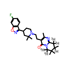 [2H]C1([2H])c2nc(C)c(CCN3CCC(c4noc5cc(F)ccc45)CC3(C)C)c(=O)n2C([2H])([2H])C(C)(C)C1([2H])C